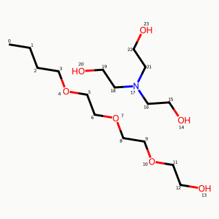 CCCCOCCOCCOCCO.OCCN(CCO)CCO